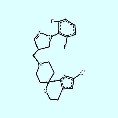 Fc1cccc(F)c1N1CC(CN2CCC3(CC2)OCCc2cc(Cl)sc23)C=N1